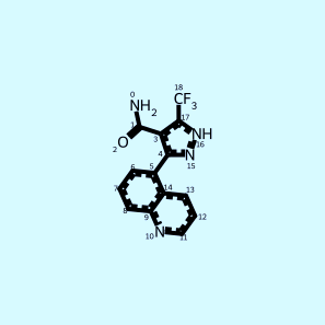 NC(=O)c1c(-c2cccc3ncccc23)n[nH]c1C(F)(F)F